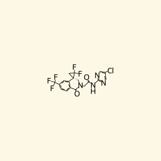 O=C(CN1C[C@@]2(CC2(F)F)c2cc(C(F)(F)F)ccc2C1=O)Nc1ncc(Cl)cn1